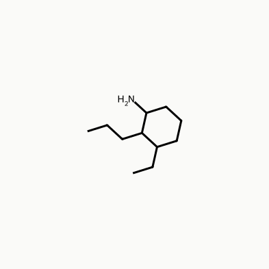 CCCC1C(N)CCCC1CC